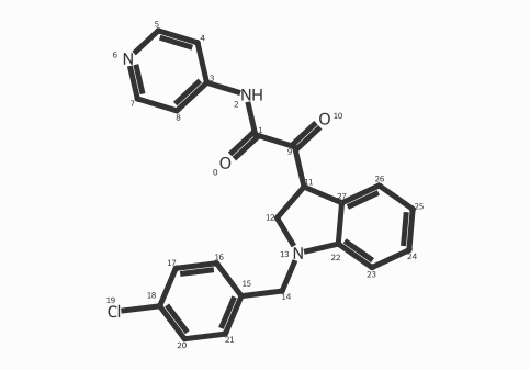 O=C(Nc1ccncc1)C(=O)C1CN(Cc2ccc(Cl)cc2)c2ccccc21